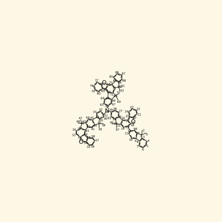 CC1(C)c2ccccc2-c2ccc(-c3cc4c(c5c3oc3ccccc35)-c3ccc(N(c5ccc6c(c5)C(C)(C)c5cc7c(cc5-6)C(C)(C)c5ccc6oc8ccccc8c6c5-7)c5ccc6c(c5)C(C)(C)c5c7c(c8oc9ccccc9c8c5-6)-c5ccccc5C7(C)C)cc3C4(C)C)cc21